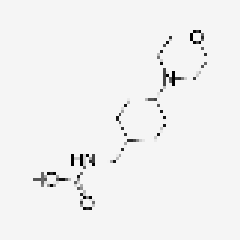 O=C(O)NCC1CCC(N2CCOCC2)CC1